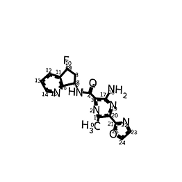 Cc1nc(C(=O)N[C@@H]2C[C@@H](F)c3cccnc32)c(N)nc1-c1ncco1